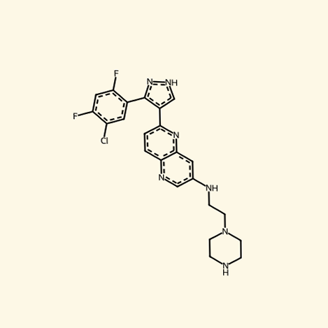 Fc1cc(F)c(-c2n[nH]cc2-c2ccc3ncc(NCCN4CCNCC4)cc3n2)cc1Cl